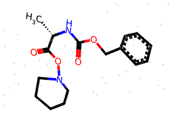 C[C@H](NC(=O)OCc1ccccc1)C(=O)ON1CCCCC1